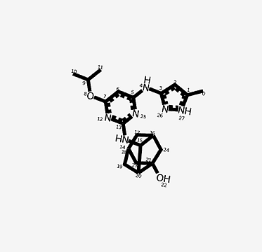 Cc1cc(Nc2cc(OC(C)C)nc(NC3C4CC5CC3C(O)(C5)C4)n2)n[nH]1